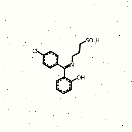 O=S(=O)(O)CCC/N=C(\c1ccc(Cl)cc1)c1ccccc1O